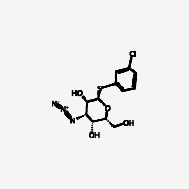 [N-]=[N+]=N[C@@H]1[C@@H](O)[C@@H](Sc2cccc(Cl)c2)O[C@H](CO)[C@@H]1O